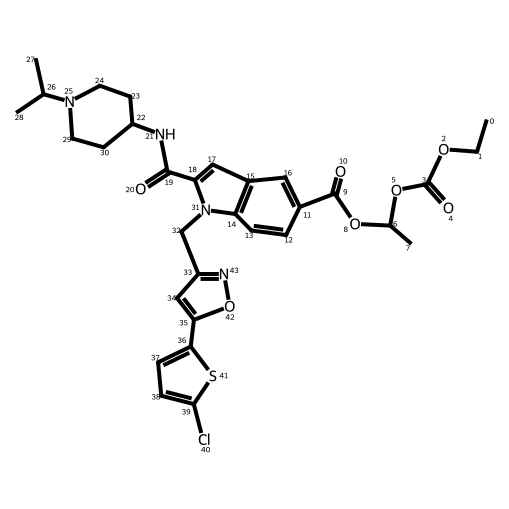 CCOC(=O)OC(C)OC(=O)c1ccc2c(c1)cc(C(=O)NC1CCN(C(C)C)CC1)n2Cc1cc(-c2ccc(Cl)s2)on1